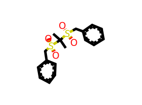 CC(C)(S(=O)(=O)Cc1ccccc1)S(=O)(=O)Cc1ccccc1